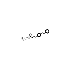 CCOC(=O)CCCc1ccc(CCc2ccccc2)cc1